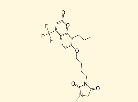 CCCc1c(OCCCCN2C(=O)CN(C)C2=O)ccc2c(C(F)(F)F)cc(=O)oc12